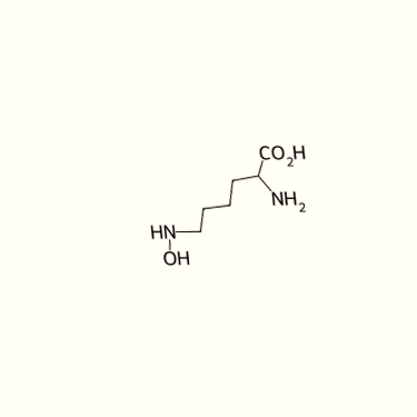 NC(CCCCNO)C(=O)O